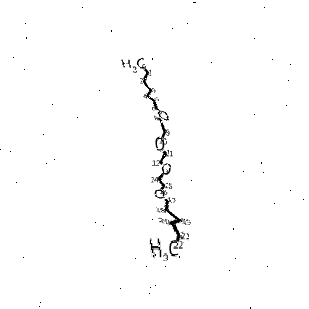 CCCCCCCOCCOCCOCCOCCCCCC